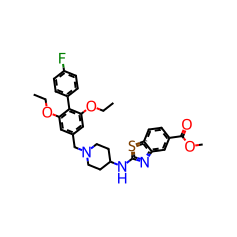 CCOc1cc(CN2CCC(Nc3nc4cc(C(=O)OC)ccc4s3)CC2)cc(OCC)c1-c1ccc(F)cc1